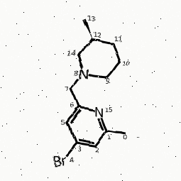 Cc1cc(Br)cc(CN2CCC[C@H](C)C2)n1